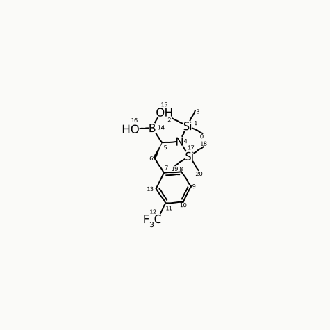 C[Si](C)(C)N([C@@H](Cc1cccc(C(F)(F)F)c1)B(O)O)[Si](C)(C)C